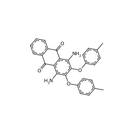 Cc1ccc(Oc2c(N)c3c(c(N)c2Oc2ccc(C)cc2)C(=O)c2ccccc2C3=O)cc1